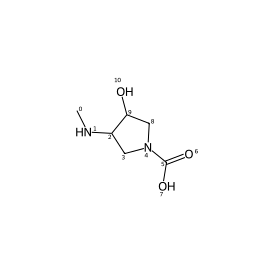 CNC1CN(C(=O)O)CC1O